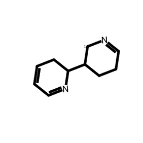 [C]1N=CCCC1C1CC=CC=N1